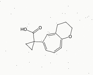 O=C(O)C1(C2=CC=C=C3OCCCC3=C2)CC1